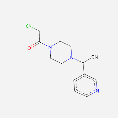 N#CC(c1cccnc1)N1CCN(C(=O)CCl)CC1